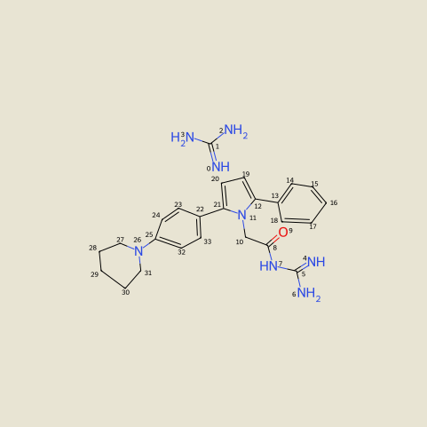 N=C(N)N.N=C(N)NC(=O)Cn1c(-c2ccccc2)ccc1-c1ccc(N2CCCCC2)cc1